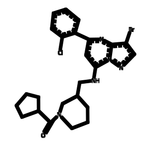 O=C(C1CCCC1)N1CCCC(CNc2cc(-c3ccccc3Cl)nc3c(Br)cnn23)C1